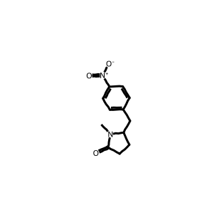 CN1C(=O)CCC1Cc1ccc([N+](=O)[O-])cc1